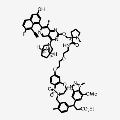 C#Cc1c(F)ccc2cc(O)cc(-c3ncc4c(N5C[C@H]6CC[C@@H](C5)N6)nc(OC[C@@]5(C(=O)NCCOCCOc6ccc7c(c6)O[C@H](C)CN(Cc6cc(C(CC(=O)OCC)c8cc(OC)c9c(c8)nnn9C)ccc6C)S7(=O)=O)CCCN5C)nc4c3F)c12